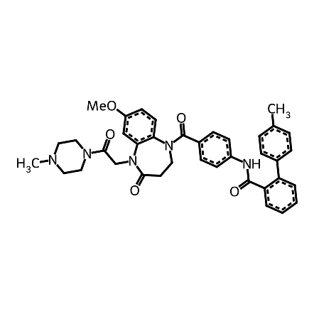 COc1ccc2c(c1)N(CC(=O)N1CCN(C)CC1)C(=O)CCN2C(=O)c1ccc(NC(=O)c2ccccc2-c2ccc(C)cc2)cc1